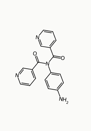 Nc1ccc(N(C(=O)c2cccnc2)C(=O)c2cccnc2)cc1